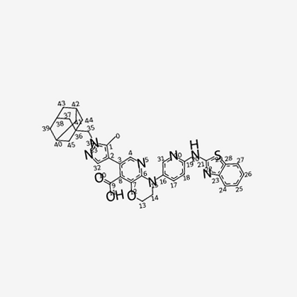 Cc1c(-c2cnc3c(c2C(=O)O)OCCN3c2ccc(Nc3nc4ccccc4s3)nc2)cnn1CC12CC3CC(CC(C3)C1)C2